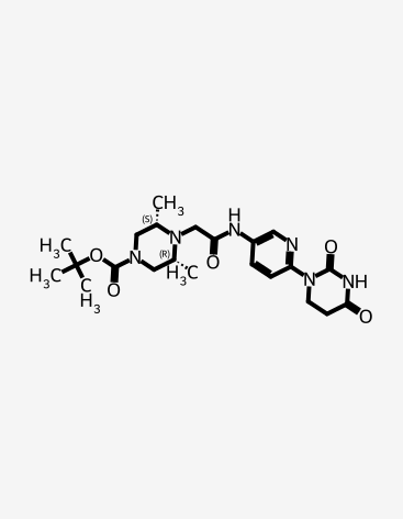 C[C@@H]1CN(C(=O)OC(C)(C)C)C[C@H](C)N1CC(=O)Nc1ccc(N2CCC(=O)NC2=O)nc1